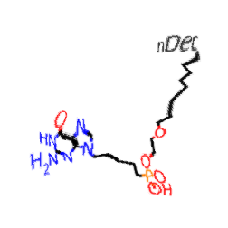 CCCCCCCCCCCCCCCCCCOCCOP(=O)(O)CCC=CCn1cnc2c(=O)[nH]c(N)nc21